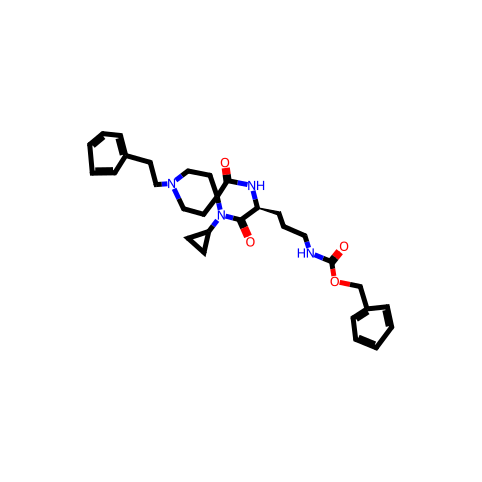 O=C(NCCC[C@@H]1NC(=O)C2(CCN(CCc3ccccc3)CC2)N(C2CC2)C1=O)OCc1ccccc1